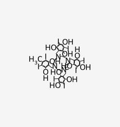 Cc1c(I)c(O)c(CN2CCN(Cc3c(O)c(I)c(O)c(I)c3O)CCN(Cc3c(O)c(I)c(O)c(I)c3O)CCN(Cc3c(O)c(I)c(O)c(I)c3O)CC2)c(O)c1I